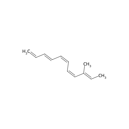 C=C/C=C/C=C\C=C/C(C)=C/C